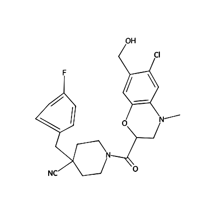 CN1CC(C(=O)N2CCC(C#N)(Cc3ccc(F)cc3)CC2)Oc2cc(CO)c(Cl)cc21